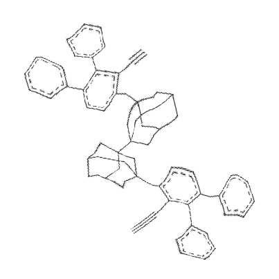 C#Cc1c(C23CC4CC(C2)CC(C25CC6CC(CC(c7ccc(-c8ccccc8)c(-c8ccccc8)c7C#C)(C6)C2)C5)(C4)C3)ccc(-c2ccccc2)c1-c1ccccc1